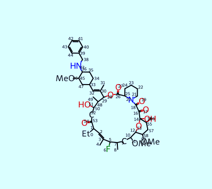 CCC1/C=C(\C)C(F)C(C)CC(OC)C2OC(O)(C(=O)C(=O)N3CCCCC3C(=O)OC(C(C)=CC3CCC(NCc4ccccc4)C(OC)C3)C(C)C(O)CC1=O)C(C)CC2OC